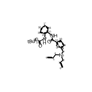 C=CCN(CC=C)Cc1ccc(C(=O)Nc2ccccc2NC(=O)OC(C)(C)C)s1